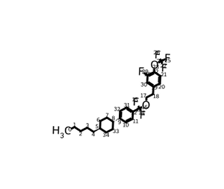 CCCCC[C@H]1CC[C@H](c2ccc(C(F)(F)OCCc3ccc(OC(F)(F)F)c(F)c3)cc2)CC1